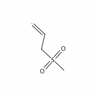 [CH]=CCS(C)(=O)=O